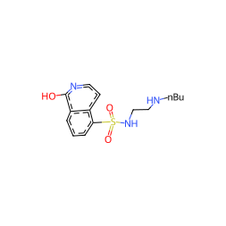 CCCCNCCNS(=O)(=O)c1cccc2c(O)nccc12